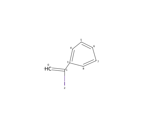 [CH]=C(I)c1ccccc1